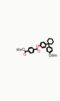 COC(=O)c1ccc(C(=O)Oc2ccc(C3(c4ccc(OC)cc4)CCCCC3)cc2)cc1